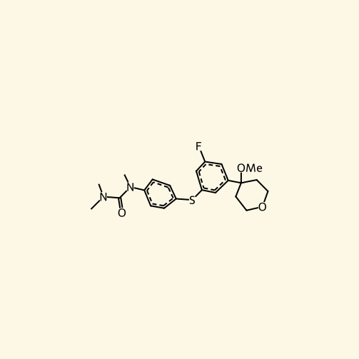 COC1(c2cc(F)cc(Sc3ccc(N(C)C(=O)N(C)C)cc3)c2)CCOCC1